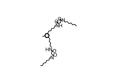 CCCCCCCN(C)C(=O)CC(=O)NCCCCCc1cc(C)cc(CCCCCNC(=O)CC(=O)N(C)CCCCCCC)c1